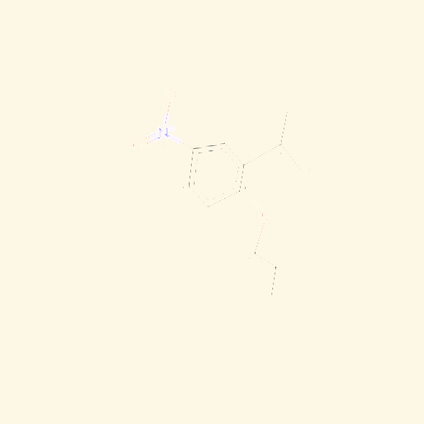 CCCOc1ccc([N+](=O)[O-])cc1[C](C)C